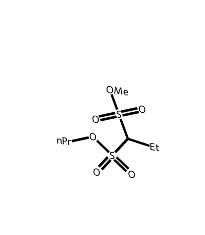 CCCOS(=O)(=O)C(CC)S(=O)(=O)OC